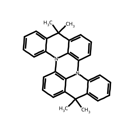 CC1(C)c2ccccc2N2c3cccc4c3N(c3ccccc3C4(C)C)c3cccc1c32